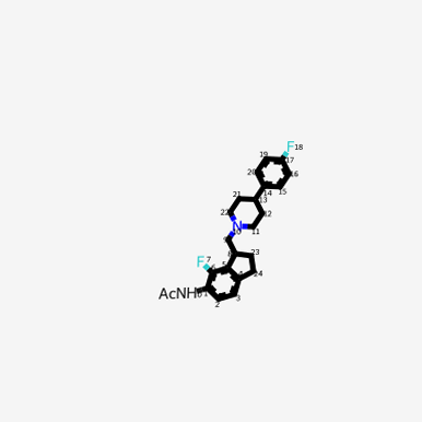 CC(=O)Nc1ccc2c(c1F)C(CN1CCC(c3ccc(F)cc3)CC1)CC2